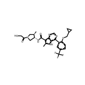 Cc1[nH]c2c(-c3cc(C(F)(F)F)ccc3OCC3CC3)ncnc2c1C(=O)N[C@@H]1CN(C(=O)CO)C[C@H]1C